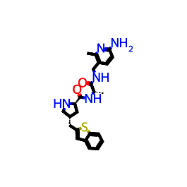 Cc1nc(N)ccc1CNC(=O)[C@H](C)NC(=O)[C@H]1C[C@H](Cc2cc3ccccc3s2)CN1